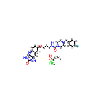 CCO.Cl.Cl.O=C(NCCCOc1ccc2nc3[nH]c(=O)[nH]c3cc2c1)N1CCN(Cc2ccc(F)cc2)CC1